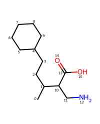 CC(CCC1CCCCC1)C(CN)C(=O)O